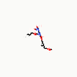 C=CC(=O)OCC/C=C\CC(C=C)CC/C=C/COC(=O)CCN(CCCN(CCO)CCO)CCC(=O)OC/C=C\CC(C=C)CCC